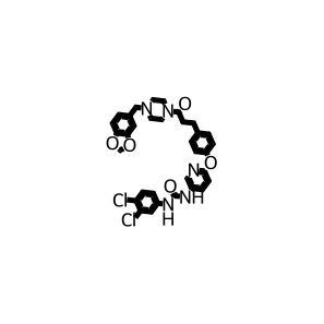 O=C(Nc1ccc(Oc2ccc(CCC(=O)N3CCN(Cc4ccc5c(c4)OCO5)CC3)cc2)nc1)Nc1ccc(Cl)c(Cl)c1